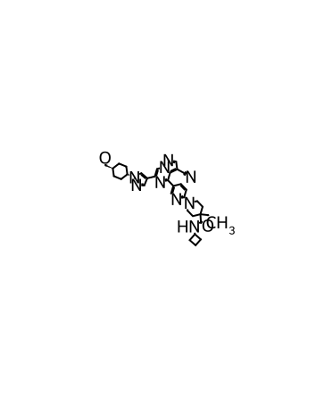 CCC1(C(=O)NC2CCC2)CCN(c2ccc(-c3nc(-c4cnn([C@H]5CC[C@H](C=O)CC5)c4)cn4ncc(C#N)c34)cn2)CC1